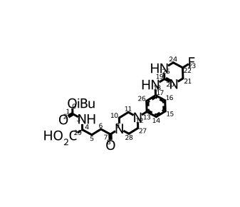 CC(C)COC(=O)N[C@@H](CCC(=O)N1CCN(c2cccc(NC3=NCC(F)CN3)c2)CC1)C(=O)O